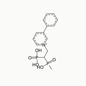 CP(=O)(O)C(C[n+]1cccc(-c2ccccc2)c1)P(=O)(O)O